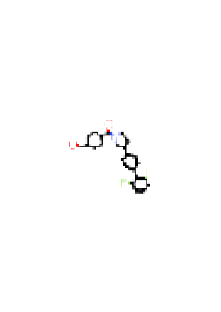 O=CC1CCC(C(=O)N2CCC(c3ccc(-c4c(F)cccc4F)cc3)C2)CC1